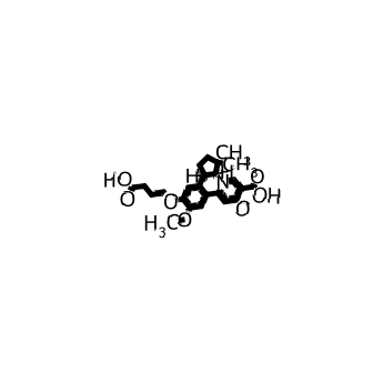 COc1cc2c(cc1OCCCC(=O)O)[C@H]1CCC(C)(C)[C@H]1n1cc(C(=O)O)c(=O)cc1-2